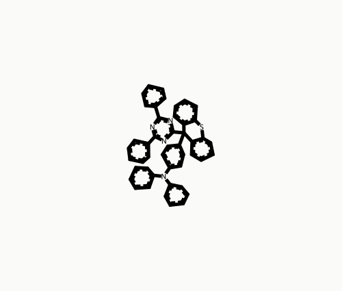 c1ccc(-c2nc(-c3ccccc3)nc(C3(c4ccc(N(c5ccccc5)c5ccccc5)cc4)c4ccccc4Sc4ccccc43)n2)cc1